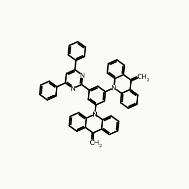 C=C1c2ccccc2N(c2cc(-c3nc(-c4ccccc4)cc(-c4ccccc4)n3)cc(N3c4ccccc4C(=C)c4ccccc43)c2)c2ccccc21